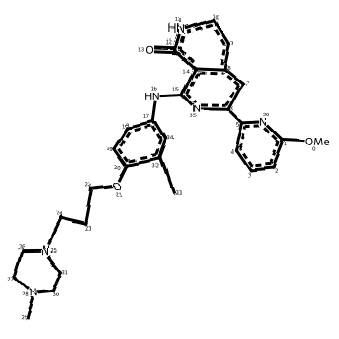 COc1cccc(-c2cc3cc[nH]c(=O)c3c(Nc3ccc(OCCCN4CCN(C)CC4)c(C)c3)n2)n1